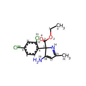 CCOC(=O)C1(c2ccc(Cl)cc2Cl)N=C(C)C=C1N